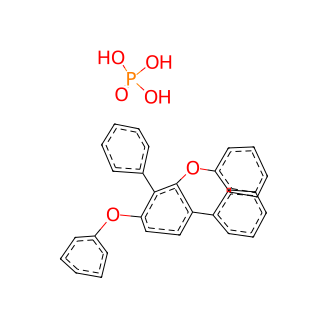 O=P(O)(O)O.c1ccc(Oc2ccc(-c3ccccc3)c(Oc3ccccc3)c2-c2ccccc2)cc1